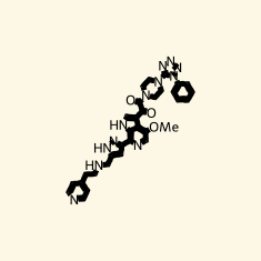 COc1cnc(-c2cc(CNCCc3ccncc3)[nH]n2)c2[nH]cc(C(=O)C(=O)N3CCN(c4nnnn4-c4ccccc4)CC3)c12